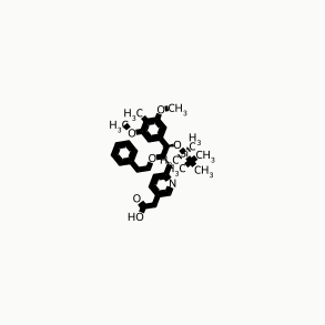 COc1cc([C@@H](O[Si](C)(C)C(C)(C)C)[C@H](Cc2ccc(CC(=O)O)cn2)OCCc2ccccc2)cc(OC)c1C